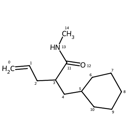 C=CCC(CC1CCCCC1)C(=O)NC